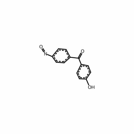 O=Nc1ccc(C(=O)c2ccc(O)cc2)cc1